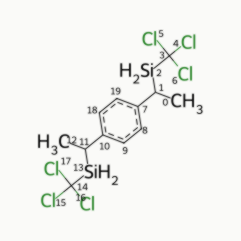 CC([SiH2]C(Cl)(Cl)Cl)c1ccc(C(C)[SiH2]C(Cl)(Cl)Cl)cc1